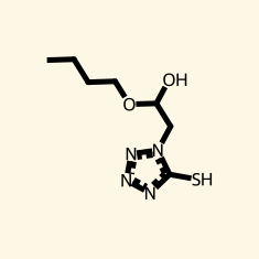 CCCCOC(O)Cn1nnnc1S